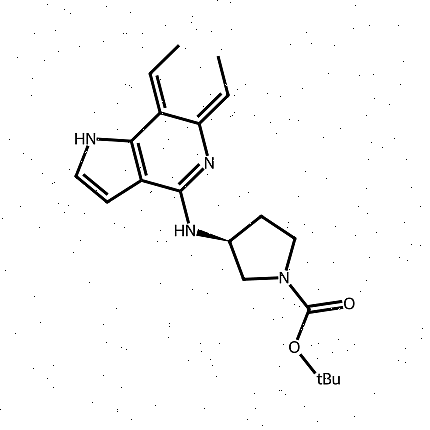 C/C=c1\c(=C/C)nc(N[C@H]2CCN(C(=O)OC(C)(C)C)C2)c2cc[nH]c12